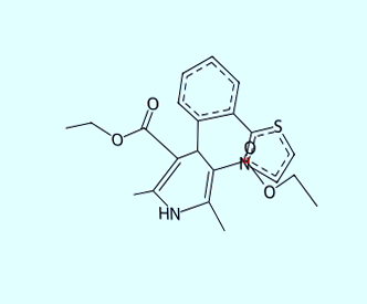 CCOC(=O)C1=C(C)NC(C)=C(C(=O)OCC)C1c1ccccc1-c1nccs1